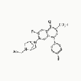 CC(=O)CN1CC2CC1CN2c1cc2c(cc1F)c(=O)c(C(=O)O)cn2-c1ccc(F)cc1